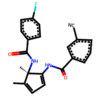 CC1=CC=C(NC(=O)c2cccc(C#N)c2)[C@]1(C)NC(=O)c1ccc(F)cc1